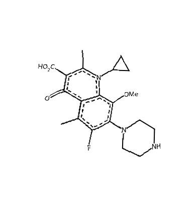 COc1c(N2CCNCC2)c(F)c(C)c2c(=O)c(C(=O)O)c(C)n(C3CC3)c12